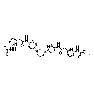 CC(=O)Nc1cccc(CC(=O)Nc2ccc([C@H]3CCC[C@H](c4ccc(NC(=O)Cc5cccc(NC(C)=O)n5)nn4)C3)nn2)n1